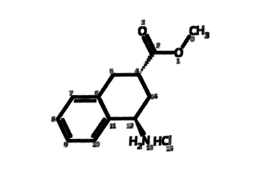 COC(=O)[C@H]1Cc2ccccc2[C@H](N)C1.Cl